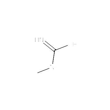 CC(=N)NI